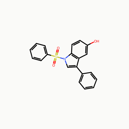 O=S(=O)(c1ccccc1)n1cc(-c2ccccc2)c2cc(O)ccc21